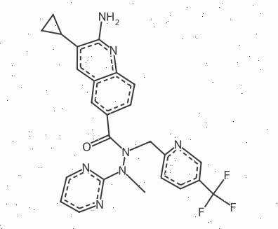 CN(c1ncccn1)N(Cc1ccc(C(F)(F)F)cn1)C(=O)c1ccc2nc(N)c(C3CC3)cc2c1